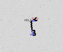 O=C(N[C@@H](CCCCCCCc1ccc2c(n1)NCCC2)C(=O)O)C1CCOCC1